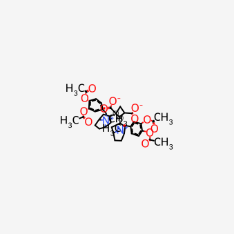 CC(=O)Oc1ccc(C[N+]2(C)C3CCC2CC([C@@H]2C(C(=O)[O-])C[C@]2(C(=O)[O-])C2CC4CCC(C2)[N+]4(C)Cc2ccc(OC(C)=O)c(OC(C)=O)c2)C3)cc1OC(C)=O